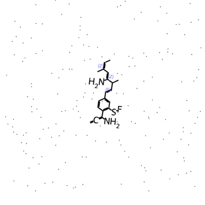 C=C=C(N)c1ccc(/C=C/C(C)/C(N)=C/C(C)=C\C)cc1SF